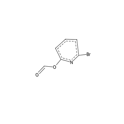 O=COc1cccc(Br)n1